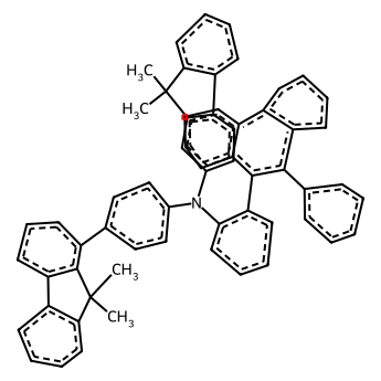 CC1(C)c2ccccc2-c2ccc(N(c3ccc(-c4cccc5c4C(C)(C)c4ccccc4-5)cc3)c3ccccc3-c3c(-c4ccccc4)c4ccccc4c4ccccc34)cc21